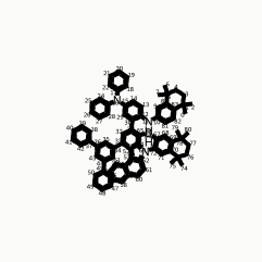 CC1(C)CCC(C)(C)c2cc(Nc3ccc(N(c4ccccc4)c4ccccc4)cc3-c3cc(-c4cc(-c5ccccc5)cc(-c5ccccc5)c4)c4c5c6ccccc6ccc5n5c4c3Bc3cc4c(cc3-5)C(C)(C)CCC4(C)C)ccc21